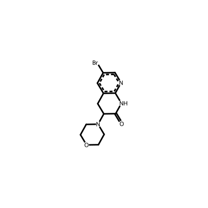 O=C1Nc2ncc(Br)cc2CC1N1CCOCC1